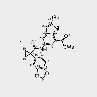 COC(=O)c1cc(NC(=O)C2(c3ccc4c(c3)OCO4)CC2)cc2cc(C(C)(C)C)[nH]c12